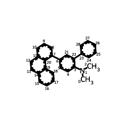 CN(C)c1ccc(-c2cccc3ccc4ccccc4c23)cc1-c1ccccc1